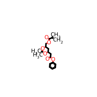 C=C(C)C(=O)OCC1CC(CC(=O)Oc2ccccc2)OC(C)(C)O1